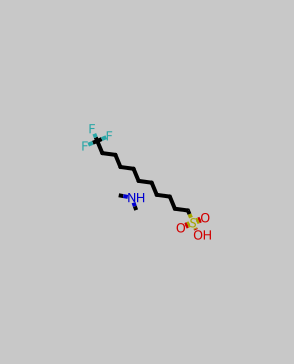 CNC.O=S(=O)(O)CCCCCCCCCCC(F)(F)F